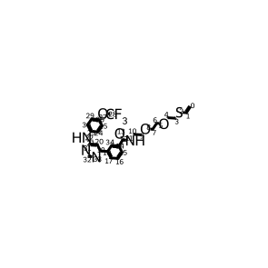 C=CSCCOCCOCCNC(=O)c1cccc(-c2cc(Nc3ccc(OC(F)(F)F)cc3)ncn2)c1